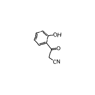 N#CCC(=O)c1ccccc1O